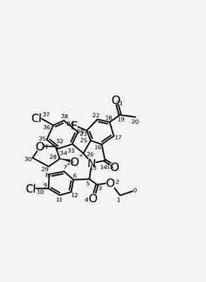 CCOC(=O)C(c1ccc(Cl)cc1)N1C(=O)c2cc(C(C)=O)cc(F)c2[C@]1(O[C@H]1CCOC1)c1ccc(Cl)cc1